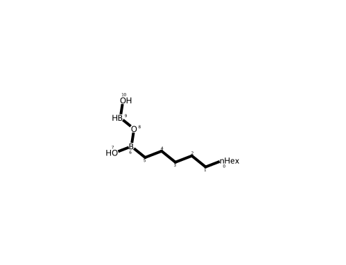 CCCCCCCCCCCB(O)OBO